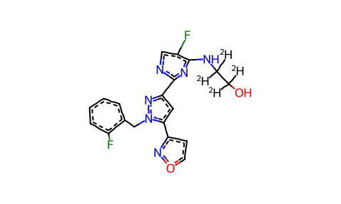 [2H]C([2H])(O)C([2H])([2H])Nc1nc(-c2cc(-c3ccon3)n(Cc3ccccc3F)n2)ncc1F